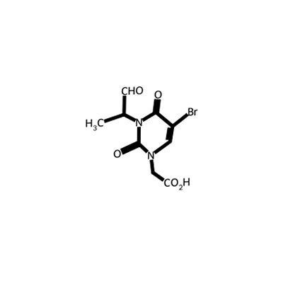 CC(C=O)n1c(=O)c(Br)cn(CC(=O)O)c1=O